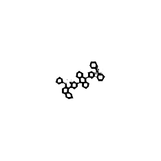 O=P(c1ccccc1)(c1ccccc1)c1ccc(-c2c3ccccc3c(-c3ccc4c(c3)nc(-c3ccccc3)c3ccc5ccccc5c34)c3ccccc23)cc1